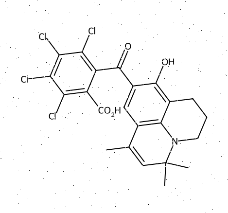 CC1=CC(C)(C)N2CCCc3c(O)c(C(=O)c4c(Cl)c(Cl)c(Cl)c(Cl)c4C(=O)O)cc1c32